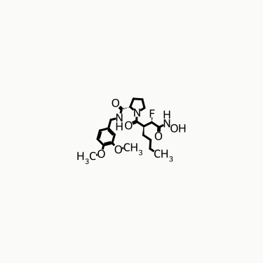 CCCC[C@@H](C(=O)N1CCC[C@H]1C(=O)NCc1ccc(OC)c(OC)c1)[C@H](F)C(=O)NO